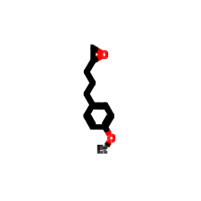 CCOc1ccc(CCCC2CO2)cc1